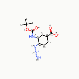 CC(C)(C)OC(=O)NC1CC(C(=O)[O-])CCC1N=[N+]=N